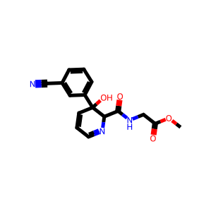 COC(=O)CNC(=O)C1N=CC=CC1(O)c1cccc(C#N)c1